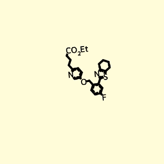 CCOC(=O)CCCc1ccc(OCc2ccc(F)cc2-c2nc3c(s2)CCCC3)cn1